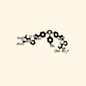 COC(=O)N[C@@H](C(=O)N1CCC[C@H]1c1ncc(-c2ccc([C@H]3CC[C@H](c4ccc(-c5cnc([C@@H]6CCCN6C(=O)[C@H]([C@H](C)OC)N(C)C(=O)O)[nH]5)cc4)N3c3ccc(C(C)(C)C)cc3)cc2)[nH]1)C(C)OC